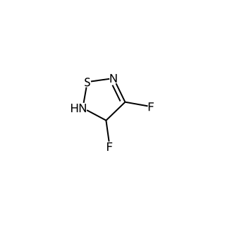 FC1=NSNC1F